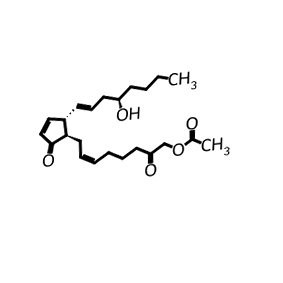 CCCC[C@@H](O)C/C=C/[C@H]1C=CC(=O)[C@@H]1C/C=C\CCCC(=O)COC(C)=O